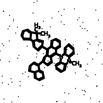 CN1c2ccccc2N(c2c3ccccc3c(-c3ccc4c(c3)C(C)(C)c3ccccc3-4)c3cc(-c4cccc5ccccc45)ccc23)c2ccccc21